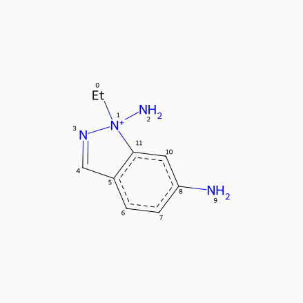 CC[N+]1(N)N=Cc2ccc(N)cc21